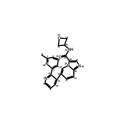 Cc1cccc(-c2ncccc2-c2ccc3ncc(C(=O)NC4COC4)n3c2)n1